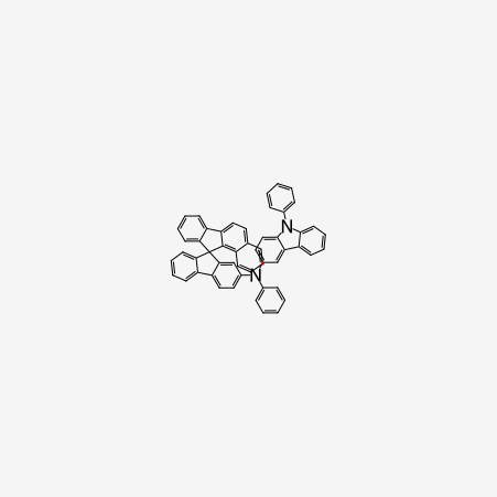 c1ccc(N(c2ccc3c(c2)C2(c4ccccc4-3)c3ccccc3-c3ccc4ccccc4c32)c2ccc3c(c2)c2ccccc2n3-c2ccccc2)cc1